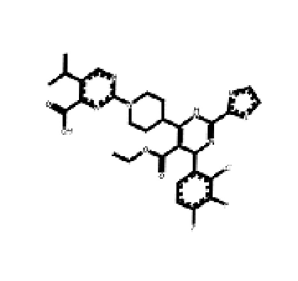 CCOC(=O)C1=C(C2CCN(c3ncc(C(C)C)c(C(=O)O)n3)CC2)NC(c2nccs2)=NC1c1ccc(F)c(F)c1Cl